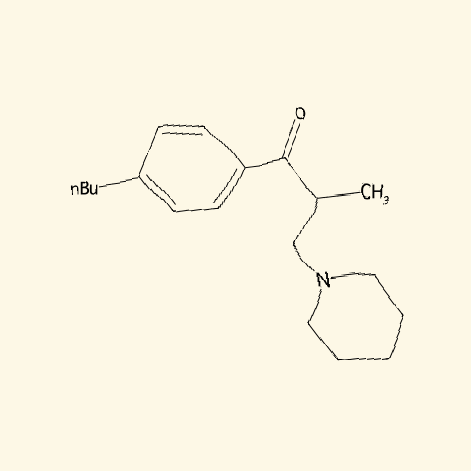 CCCCc1ccc(C(=O)C(C)CN2CCCCC2)cc1